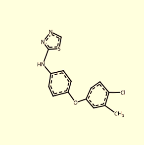 Cc1cc(Oc2ccc(Nc3nncs3)cc2)ccc1Cl